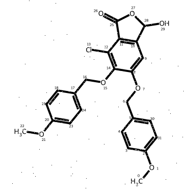 COc1ccc(COc2cc3c(c(Cl)c2OCc2ccc(OC)cc2)C(=O)OC3O)cc1